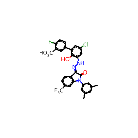 Cc1cc(C)cc(N2C(=O)C(=NNc3cc(Cl)cc(-c4ccc(F)c(C(=O)O)c4)c3O)c3ccc(C(F)(F)F)cc32)c1